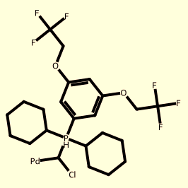 FC(F)(F)COc1cc(OCC(F)(F)F)cc([PH]([CH](Cl)[Pd])(C2CCCCC2)C2CCCCC2)c1